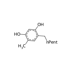 CCCCCCc1cc(C)c(O)cc1O